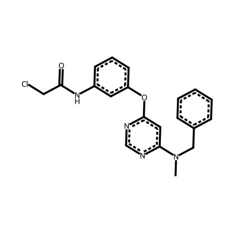 CN(Cc1ccccc1)c1cc(Oc2cccc(NC(=O)CCl)c2)ncn1